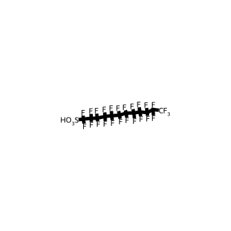 O=S(=O)(O)C(F)(F)C(F)(F)C(F)(F)C(F)(F)C(F)(F)C(F)(F)C(F)(F)C(F)(F)C(F)(F)C(F)(F)C(F)(F)C(F)(F)F